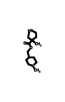 CN1CCC(COC(=O)C2(C)CCNCC2)CC1